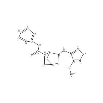 CCCSc1nsnc1OC1CC2CC1N(C(=O)Cc1ccccc1)C2